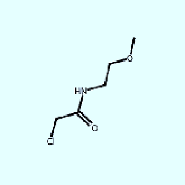 COCCNC(=O)CCl